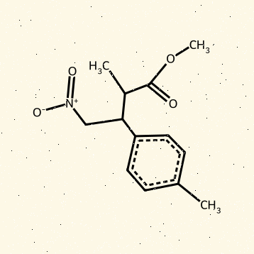 COC(=O)C(C)C(C[N+](=O)[O-])c1ccc(C)cc1